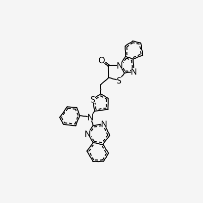 O=C1C(Cc2ccc(N(c3ccccc3)c3ncc4ccccc4n3)s2)Sc2nc3ccccc3n21